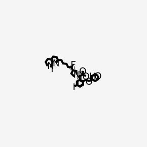 O=C(O)[C@H](c1cc(I)ccc1COC1CCOCC1)N1CCC([C@H](F)CCCCc2ccc3c(n2)N(I)CCC3)C1